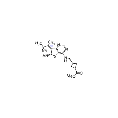 COC(=O)[C@H]1C[C@@H](CNc2ncnc3c2SC(=N)/C3=C(/C)C(C)=N)C1